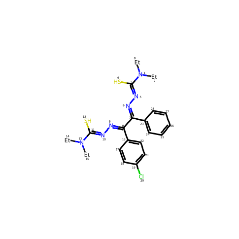 CCN(CC)/C(S)=N/N=C(/C(=N/N=C(\S)N(CC)CC)c1ccc(Cl)cc1)c1ccccc1